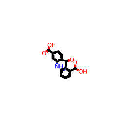 Nc1cc(C(=O)O)ccc1C(=O)c1ccccc1C(=O)O